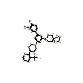 Fc1ccc(-c2cc(N3CCN(c4ncccc4C(F)(F)F)CC3)nc(N3CCC4(CC3)OCCO4)n2)cc1Cl